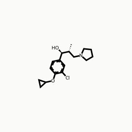 C[C@H](CN1CCCC1)[C@H](O)c1ccc(OC2CC2)c(Cl)c1